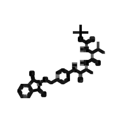 CC(NC(=O)C(NC(=O)OC(C)(C)C)C(C)C)C(=O)Nc1ccc(CON2C(=O)c3ccccc3C2=O)cc1